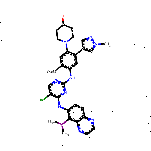 COc1cc(N2CCC(O)CC2)c(-c2cnn(C)c2)cc1Nc1ncc(Br)c(Nc2ccc3nccnc3c2P(C)C)n1